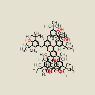 CC(C)(C)c1cc(Cc2cc(Cc3cc(C(C)(C)C)c(O)c(C(C)(C)C)c3)c(Cc3c(Cc4cc(C(C)(C)C)c(O)c(C(C)(C)C)c4)cc(Cc4cc(C(C)(C)C)c(O)c(C(C)(C)C)c4)cc3Cc3cc(C(C)(C)C)c(O)c(C(C)(C)C)c3)c(Cc3cc(C(C)(C)C)c(O)c(C(C)(C)C)c3)c2)cc(C(C)(C)C)c1O